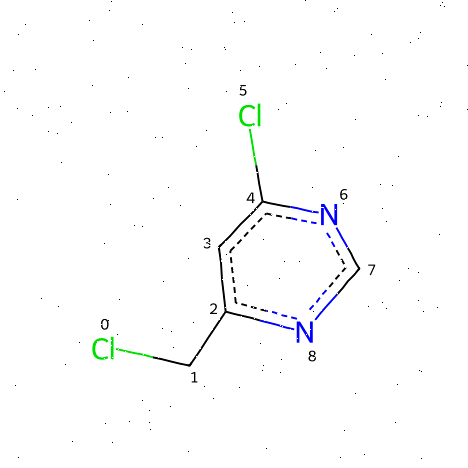 ClCc1cc(Cl)ncn1